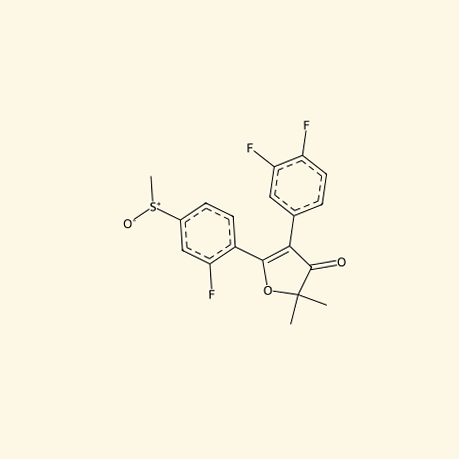 C[S+]([O-])c1ccc(C2=C(c3ccc(F)c(F)c3)C(=O)C(C)(C)O2)c(F)c1